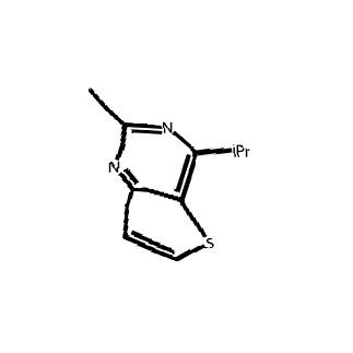 Cc1nc(C(C)C)c2sccc2n1